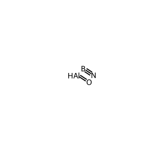 B#N.[O]=[AlH]